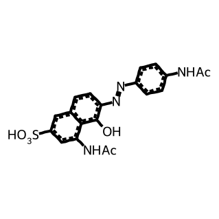 CC(=O)Nc1ccc(/N=N/c2ccc3cc(S(=O)(=O)O)cc(NC(C)=O)c3c2O)cc1